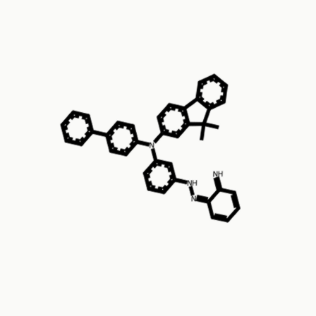 CC1(C)c2ccccc2-c2ccc(N(c3ccc(-c4ccccc4)cc3)c3cccc(N/N=C4/C=CC=CC4=N)c3)cc21